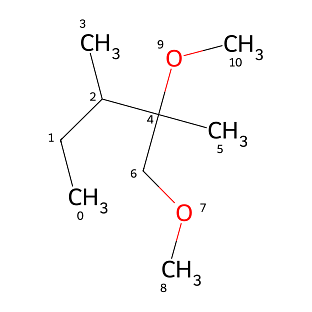 CCC(C)C(C)(COC)OC